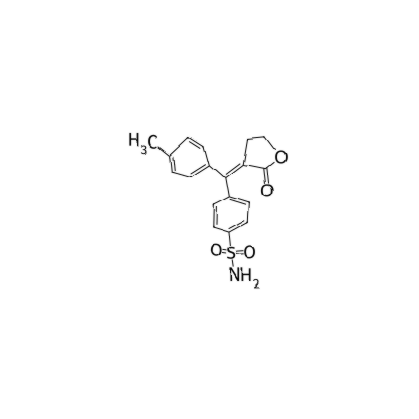 Cc1ccc(C(=C2CCOC2=O)c2ccc(S(N)(=O)=O)cc2)cc1